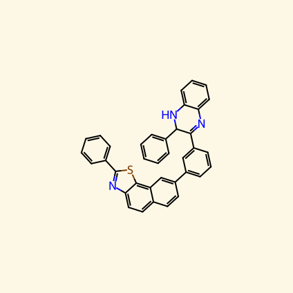 c1ccc(-c2nc3ccc4ccc(-c5cccc(C6=Nc7ccccc7NC6c6ccccc6)c5)cc4c3s2)cc1